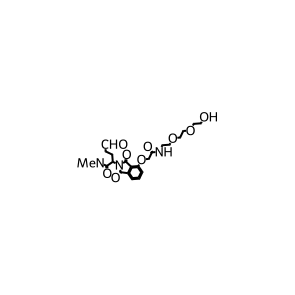 CNC(=O)C(CCC=O)N1C(=O)c2cccc(OCC(=O)NCCOCCOCCO)c2C1=O